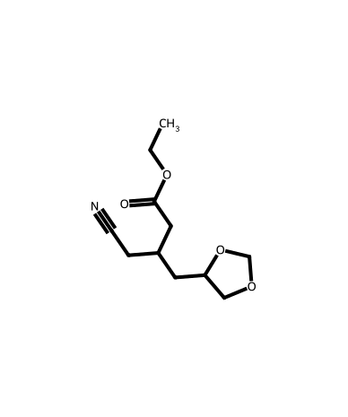 CCOC(=O)CC(CC#N)CC1COCO1